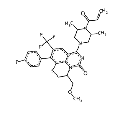 C=CC(=O)N1C(C)CN(c2nc(=O)n3c4c(c(-c5ccc(F)cc5)c(C(F)(F)F)cc24)SCC3COC)CC1C